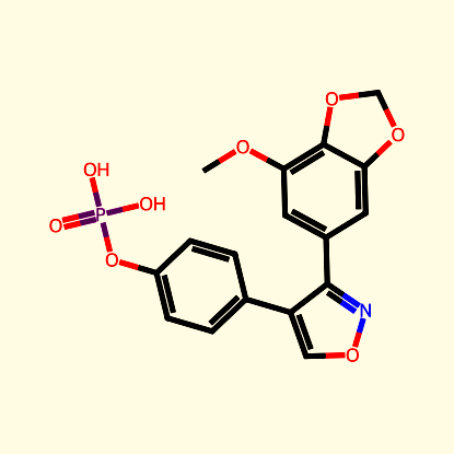 COc1cc(-c2nocc2-c2ccc(OP(=O)(O)O)cc2)cc2c1OCO2